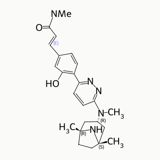 CNC(=O)/C=C/c1ccc(-c2ccc(N(C)[C@@H]3C[C@]4(C)CC[C@](C)(C3)N4)nn2)c(O)c1